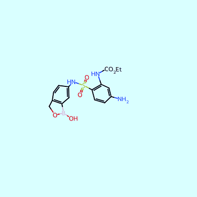 CCOC(=O)Nc1cc(N)ccc1S(=O)(=O)Nc1ccc2c(c1)B(O)OC2